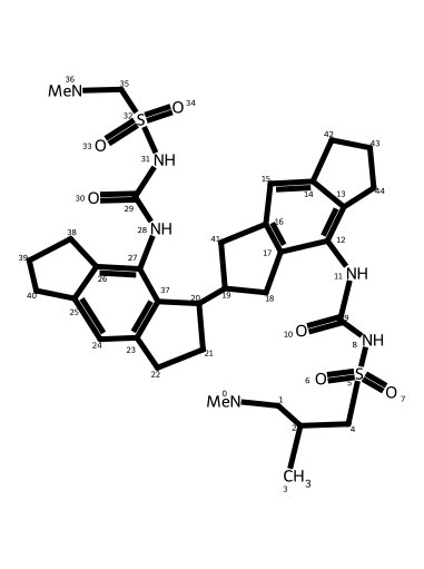 CNCC(C)CS(=O)(=O)NC(=O)Nc1c2c(cc3c1CC(C1CCc4cc5c(c(NC(=O)NS(=O)(=O)CNC)c41)CCC5)C3)CCC2